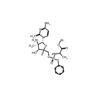 C=C1N=C(N)C=CN1[C@@H]1O[C@](F)(COP(=O)(NC(C)C(=O)OC(C)C)Oc2ccccc2)[C@@H](O)[C@@]1(C)N